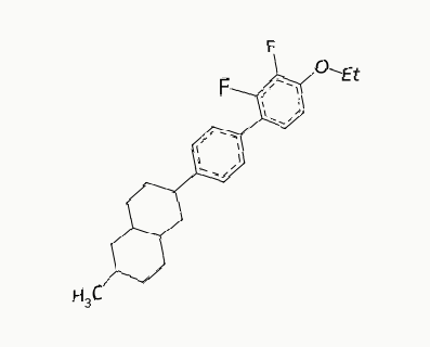 CCOc1ccc(-c2ccc(C3CCC4CC(C)CCC4C3)cc2)c(F)c1F